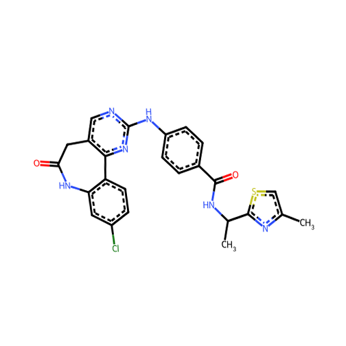 Cc1csc(C(C)NC(=O)c2ccc(Nc3ncc4c(n3)-c3ccc(Cl)cc3NC(=O)C4)cc2)n1